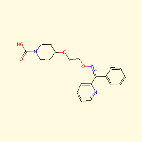 O=C(O)N1CCC(OCCO/N=C(/c2ccccc2)c2ccccn2)CC1